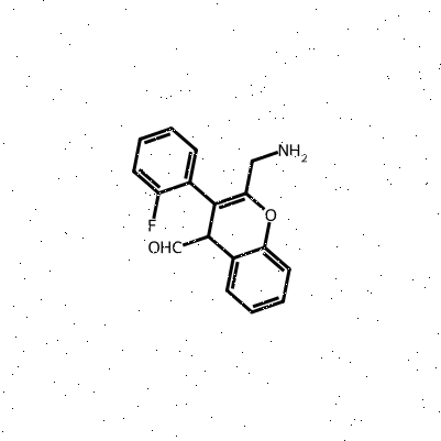 NCC1=C(c2ccccc2F)C(C=O)c2ccccc2O1